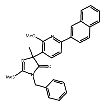 COc1nc(-c2ccc3ccccc3c2)ccc1C1(C)N=C(SC)N(Cc2ccccc2)C1=O